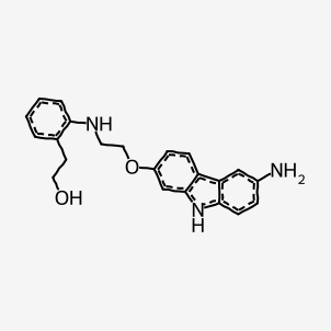 Nc1ccc2[nH]c3cc(OCCNc4ccccc4CCO)ccc3c2c1